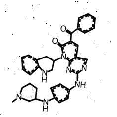 CN1CCCC(Nc2ccc(Nc3ncc4cc(C(=O)c5ccccc5)c(=O)n(C5CNc6ccccc6C5)c4n3)cc2)C1